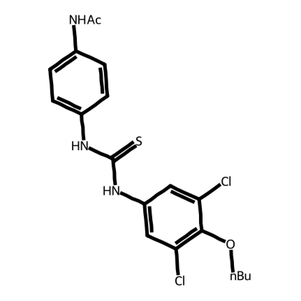 CCCCOc1c(Cl)cc(NC(=S)Nc2ccc(NC(C)=O)cc2)cc1Cl